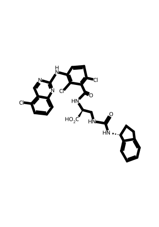 O=C(NC[C@H](NC(=O)c1c(Cl)ccc(Nc2ncc3c(Cl)cccc3n2)c1Cl)C(=O)O)N[C@@H]1CCc2ccccc21